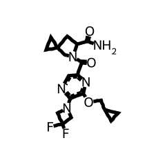 NC(=O)C1CC2(CC2)CN1C(=O)c1cnc(N2CC(F)(F)C2)c(OCC2CC2)n1